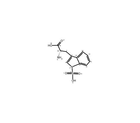 N[C@@H](Cc1cn(S(=O)(=O)O)c2ccccc12)C(=O)O